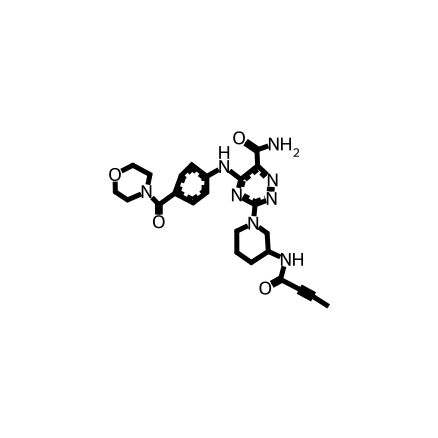 CC#CC(=O)NC1CCCN(c2nnc(C(N)=O)c(Nc3ccc(C(=O)N4CCOCC4)cc3)n2)C1